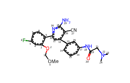 COCOc1cc(F)ccc1-c1cc(-c2cccc(NC(=O)CN(C)C)c2)c(C#N)c(N)n1